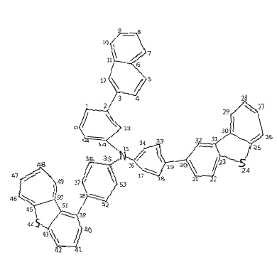 c1cc(-c2ccc3ccccc3c2)cc(N(c2ccc(-c3ccc4sc5ccccc5c4c3)cc2)c2ccc(-c3cccc4sc5ccccc5c34)cc2)c1